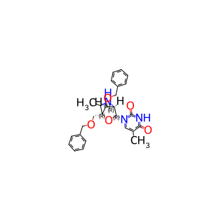 Cc1cn([C@@H]2O[C@@]3(COCc4ccccc4)C(C)N[C@@H]2[C@@H]3OCc2ccccc2)c(=O)[nH]c1=O